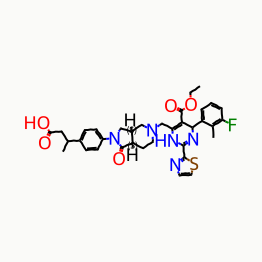 CCOC(=O)C1=C(CN2CC[C@@H]3C(=O)N(c4ccc(C(C)CC(=O)O)cc4)C[C@@H]3C2)NC(c2nccs2)=NC1c1cccc(F)c1C